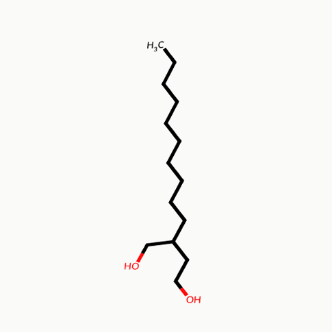 CCCCCCCCCCC(CO)CCO